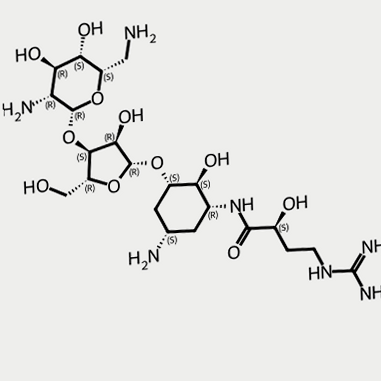 N=C(N)NCC[C@H](O)C(=O)N[C@@H]1C[C@H](N)C[C@H](O[C@@H]2O[C@H](CO)[C@@H](O[C@H]3O[C@@H](CN)[C@@H](O)[C@H](O)[C@H]3N)[C@H]2O)[C@H]1O